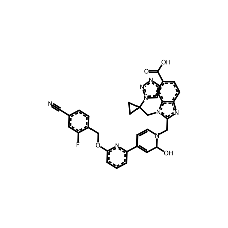 N#Cc1ccc(COc2cccc(C3=CC(O)N(Cc4nc5ccc(C(=O)O)cc5n4CC4(n5ccnn5)CC4)C=C3)n2)c(F)c1